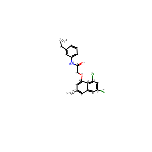 O=C(O)Cc1cccc(NC(=O)COc2cc(C(=O)O)cc3cc(Cl)cc(Cl)c23)c1